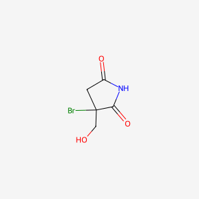 O=C1CC(Br)(CO)C(=O)N1